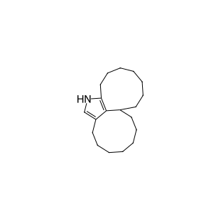 c1[nH]c2c3c1CCCCCCCC3CCCCCCC2